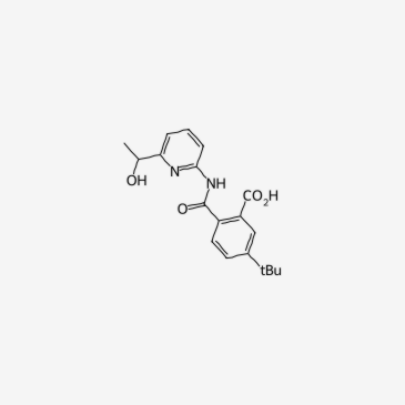 CC(O)c1cccc(NC(=O)c2ccc(C(C)(C)C)cc2C(=O)O)n1